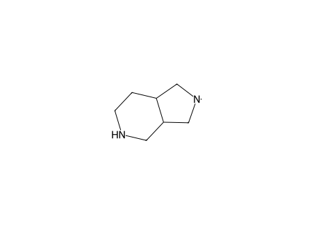 C1CC2C[N]CC2CN1